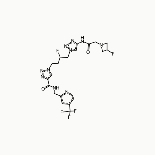 O=C(CN1CC(F)C1)Nc1cn(CC(F)CCn2cc(C(=O)NCc3cc(C(F)(F)F)ccn3)nn2)nn1